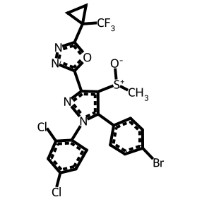 C[S+]([O-])c1c(-c2nnc(C3(C(F)(F)F)CC3)o2)nn(-c2ccc(Cl)cc2Cl)c1-c1ccc(Br)cc1